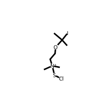 CC(C)(I)OCC[N+](C)(C)SCl